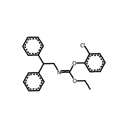 CCOC(=NCC(c1ccccc1)c1ccccc1)Oc1ccccc1Cl